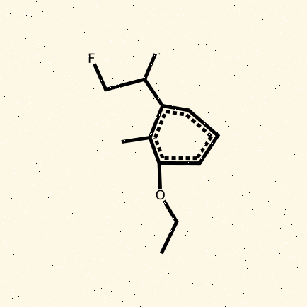 [CH2]C(CF)c1cccc(OCC)c1C